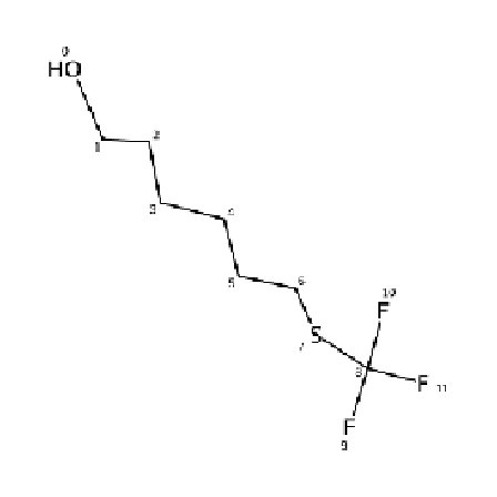 OCCCCCCSC(F)(F)F